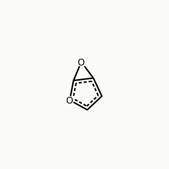 c1cc2c(o1)O2